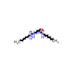 CCCCCCCCNC(=O)NCCCC(C=O)NC(=O)NCCCCCCCC